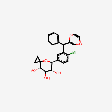 O[C@@H]1[C@@H](O)[C@H](O)C2(CC2)O[C@H]1c1ccc(Br)c(C(C2=CC=CCC2)C2=COC=CO2)c1